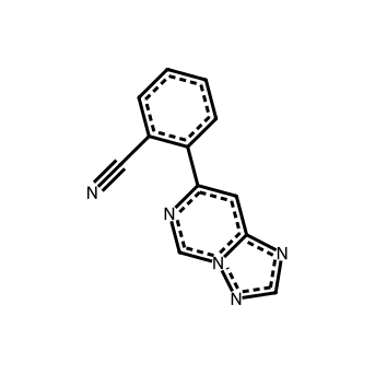 N#Cc1ccccc1-c1cc2ncnn2cn1